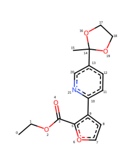 CCOC(=O)c1occc1-c1ccc(C2(C)OCCO2)cn1